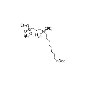 CCCCCCCCCCCCCCCCCC[N+](C)(C)CCC[Si](OCC)(OCC)OCC.[Br-]